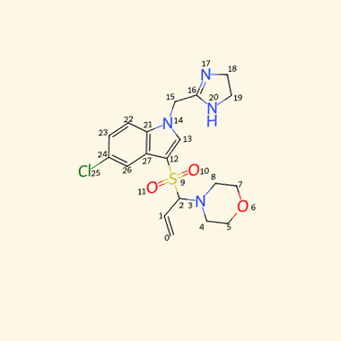 C=CC(N1CCOCC1)S(=O)(=O)c1cn(CC2=NCCN2)c2ccc(Cl)cc12